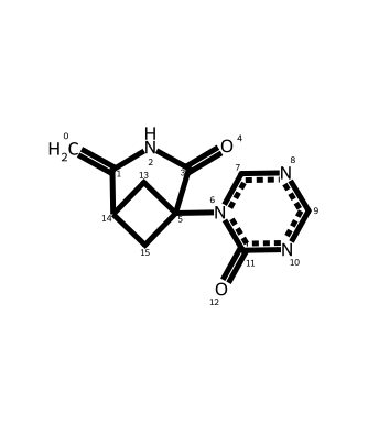 C=C1NC(=O)C2(n3cncnc3=O)CC1C2